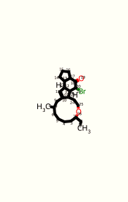 CCC1CCCCC(C)CC2=C[C@H]3C4CCCC4C(=O)C(Br)[C@H]3C2CCO1